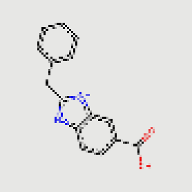 O=C(O)c1ccc2nc(Cc3ccccc3)[nH]c2c1